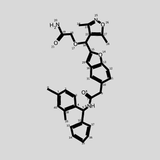 Cc1ccc(C(NC(=O)Cc2ccc3oc(C(OCC(N)=O)c4c(C)noc4C)cc3c2)c2ccccc2)c(C)c1